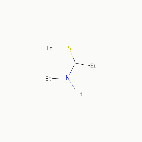 CCSC(CC)N(CC)CC